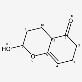 O=C1CCC=C2OC(O)CCC12